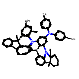 Cc1cc(C(C)(C)C)cc(C)c1N1c2cc(N(c3ccc(C(C)(C)C)cc3)c3ccc(C(C)(C)C)cc3)cc3c2B(c2ccc4c(c21)C(C)(C)c1ccccc1-4)c1cccc2c1N3C1(C)CCCCC21C